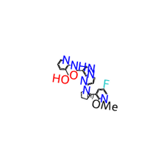 COc1ncc(F)cc1[C@H]1CCCN1c1ccn2ncc(C(=O)Nc3ncccc3CO)c2n1